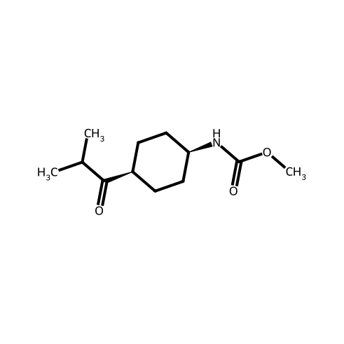 COC(=O)N[C@H]1CC[C@@H](C(=O)C(C)C)CC1